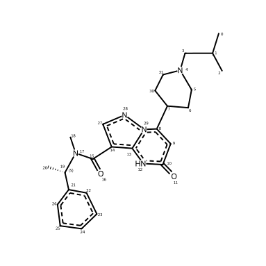 C[C](C)CN1CCC(c2cc(=O)[nH]c3c(C(=O)N(C)[C@@H](C)c4ccccc4)cnn23)CC1